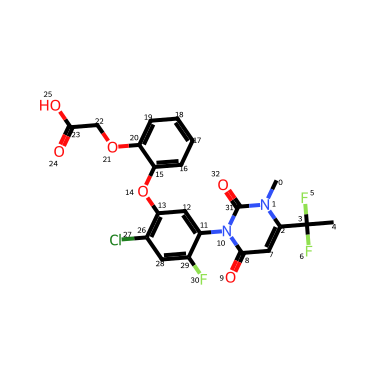 Cn1c(C(C)(F)F)cc(=O)n(-c2cc(Oc3ccccc3OCC(=O)O)c(Cl)cc2F)c1=O